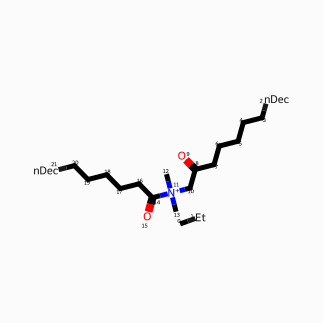 CCC.CCCCCCCCCCCCCCCC(=O)C[N+](C)(C)C(=O)CCCCCCCCCCCCCCC